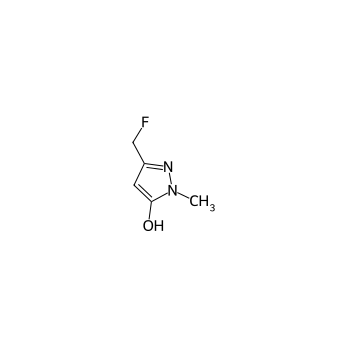 Cn1nc(CF)cc1O